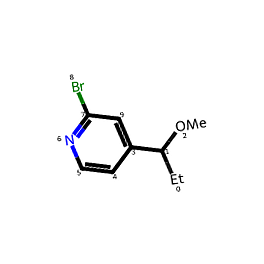 CCC(OC)c1ccnc(Br)c1